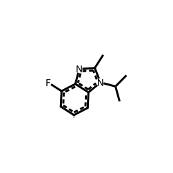 Cc1nc2c(F)c[c]cc2n1C(C)C